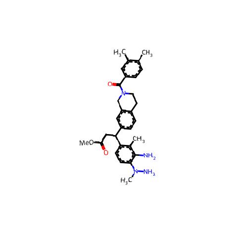 COC(=O)CC(c1ccc2c(c1)CN(C(=O)c1ccc(C)c(C)c1)CC2)c1ccc(N(C)N)c(N)c1C